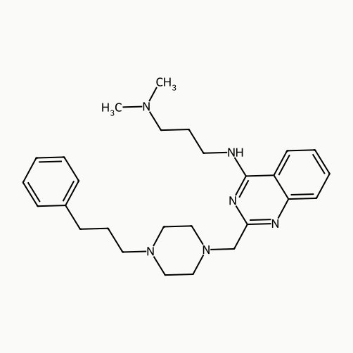 CN(C)CCCNc1nc(CN2CCN(CCCc3ccccc3)CC2)nc2ccccc12